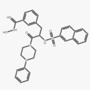 N=C(NO)c1cccc(CC(NS(=O)(=O)c2ccc3ccccc3c2)C(=O)N2CCN(c3ccccc3)CC2)c1